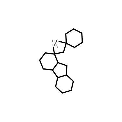 CC1(CC2(C)CCCC3C4CCCCC4CC32)CCCCC1